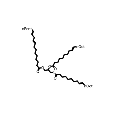 CCCCCC=CCC=CCCCCCCCC(=O)OCC(COC(=O)CCCCCCCC=CCCCCCCCC)OC(=O)CCCCCCCC=CCCCCCCCC